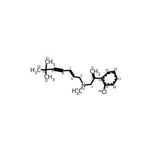 C=C(CN(C)CC=CC#CC(C)(C)C)c1ccccc1Cl